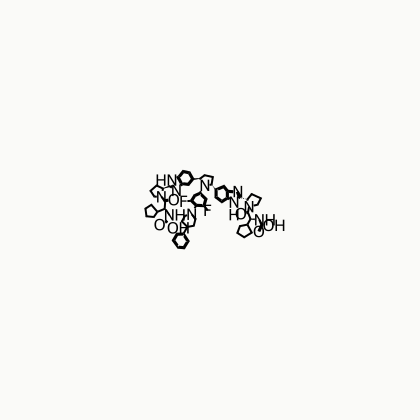 O=C(O)N[C@H](C(=O)N1CCC[C@H]1c1nc2cc([C@H]3CC[C@H](c4ccc5[nH]c([C@@H]6CCCN6C(=O)[C@@H](NC(=O)O)C6CCCC6)nc5c4)N3c3cc(F)c(N4CCC(c5ccccc5)CC4)c(F)c3)ccc2[nH]1)C1CCCC1